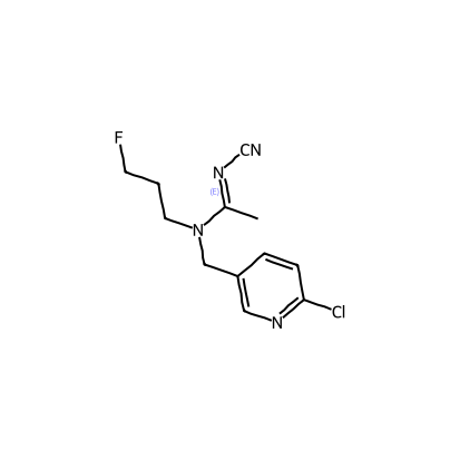 C/C(=N\C#N)N(CCCF)Cc1ccc(Cl)nc1